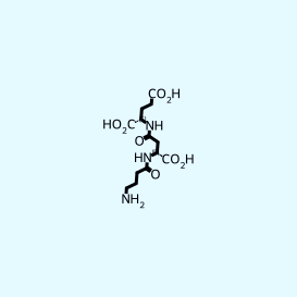 NCCCC(=O)N[C@H](CC(=O)N[C@@H](CCC(=O)O)C(=O)O)C(=O)O